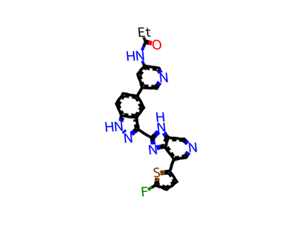 CCC(=O)Nc1cncc(-c2ccc3[nH]nc(-c4nc5c(-c6ccc(F)s6)cncc5[nH]4)c3c2)c1